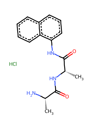 C[C@H](N)C(=O)N[C@@H](C)C(=O)Nc1cccc2ccccc12.Cl